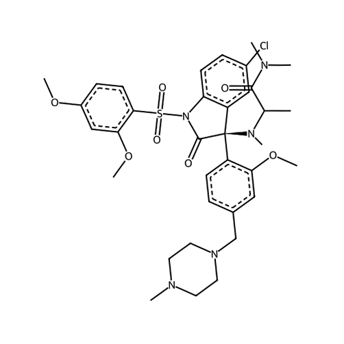 COc1ccc(S(=O)(=O)N2C(=O)[C@](c3ccc(CN4CCN(C)CC4)cc3OC)(N(C)C(C)C(=O)N(C)C)c3cc(Cl)ccc32)c(OC)c1